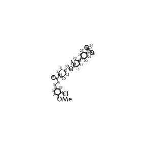 COc1ccc(CCC(=O)N2CCC(COc3ccc(-c4ccc(S(C)(=O)=O)cc4)cn3)CC2)cc1Cl